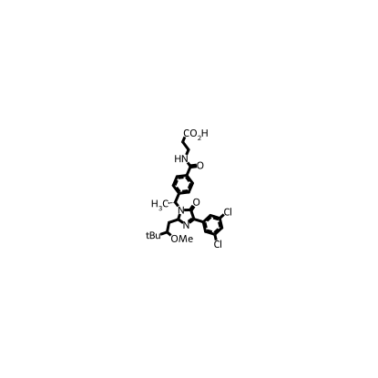 COC(CC1N=C(c2cc(Cl)cc(Cl)c2)C(=O)N1[C@H](C)c1ccc(C(=O)NCCC(=O)O)cc1)C(C)(C)C